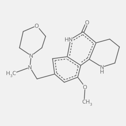 COc1cc(CN(C)N2CCOCC2)cc2[nH]c(=O)c3c(c12)NCCC3